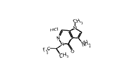 CC(n1ncc2c(c(N)cn2C)c1=O)C(F)(F)F.Cl